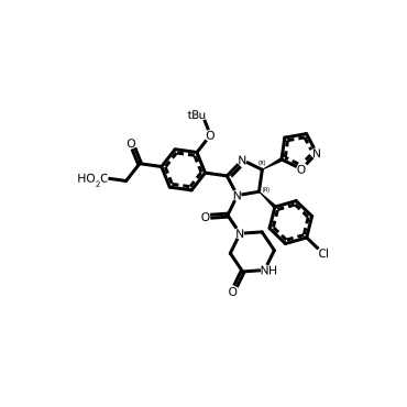 CC(C)(C)Oc1cc(C(=O)CC(=O)O)ccc1C1=N[C@@H](c2ccno2)[C@@H](c2ccc(Cl)cc2)N1C(=O)N1CCNC(=O)C1